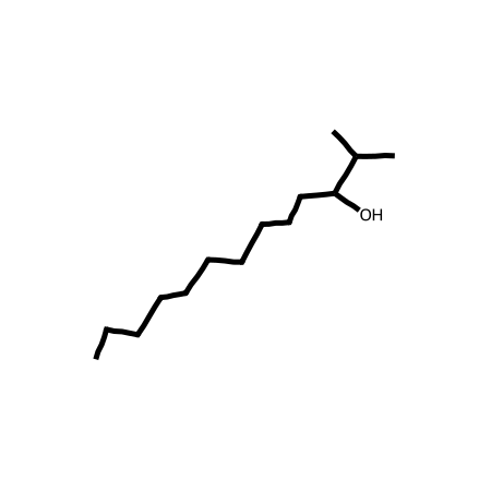 CCCCCCCCCCC(O)C(C)C